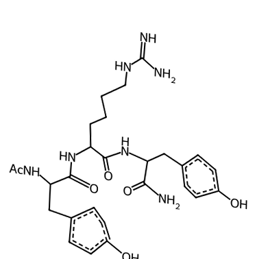 CC(=O)NC(Cc1ccc(O)cc1)C(=O)NC(CCCCNC(=N)N)C(=O)NC(Cc1ccc(O)cc1)C(N)=O